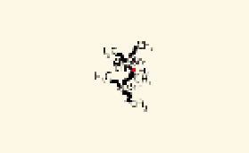 C#C.CCC[CH2][Sn]([Sn])([CH2]CCC)[CH2]CCC.CCC[CH2][Sn]([Sn])([CH2]CCC)[CH2]CCC